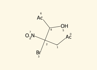 CC(=O)CC(Br)(C(O)C(C)=O)[N+](=O)[O-]